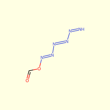 N=NN=NN=NOC=O